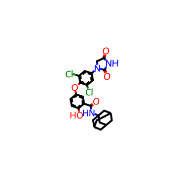 O=C1CN(c2cc(Cl)c(Oc3ccc(O)c(C(=O)NC45CC6CC(CC(C6)C4)C5)c3)c(Cl)c2)C(=O)N1